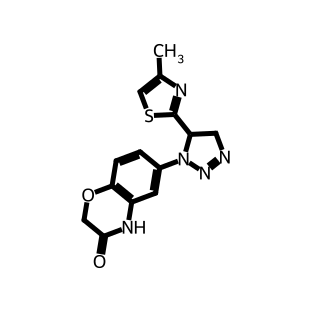 Cc1csc(C2CN=NN2c2ccc3c(c2)NC(=O)CO3)n1